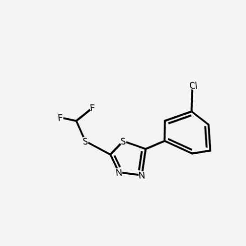 FC(F)Sc1nnc(-c2cccc(Cl)c2)s1